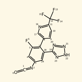 O=C=Nc1cc(F)c(-c2ccc(C(F)(F)F)nc2)c(-c2nn[nH]n2)c1